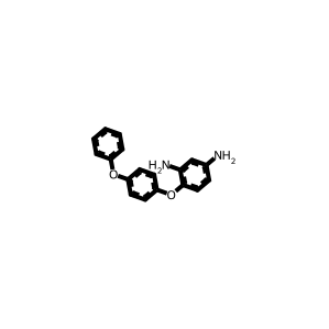 Nc1ccc(Oc2ccc(Oc3ccccc3)cc2)c(N)c1